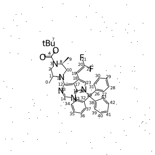 CC1CN(C(=O)OC(C)(C)C)[C@@H](C)CN1c1ncnc2c1c(C=C(F)F)cn2C(c1ccccc1)(c1ccccc1)c1ccccc1